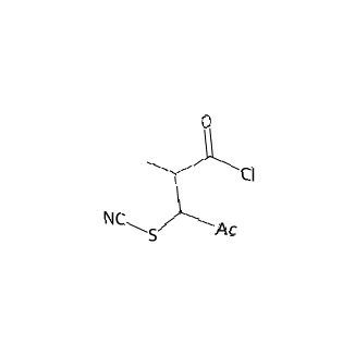 CC(=O)C(SC#N)C(C)C(=O)Cl